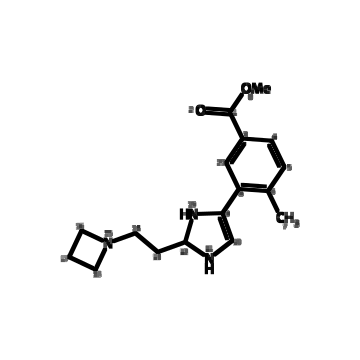 COC(=O)c1ccc(C)c(C2=CNC(CCN3CCC3)N2)c1